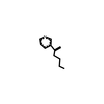 C=C(CCCC)c1cccnc1